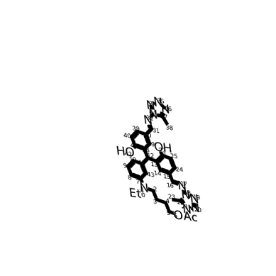 CCN(CCCCOC(C)=O)c1cccc(C(c2cc(C=Nn3nnnc3C)ccc2O)c2cc(C=Nn3nnnc3C)ccc2O)c1